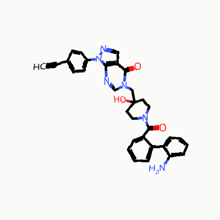 C#Cc1ccc(-n2ncc3c(=O)n(CC4(O)CCN(C(=O)c5ccccc5-c5ccccc5N)CC4)cnc32)cc1